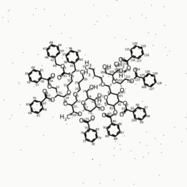 CCCCOCC1O[C@@H](OC2[C@H](O)C(CO)O[C@@H](O[C@@H](C)C(COCCCC)O[C@@H](OCCN(Cc3ccccc3)C(=O)OCc3ccccc3)[C@H](COC(=O)c3ccccc3)OC(=O)c3ccccc3)[C@H]2OC(=O)c2ccccc2)C(OC(=O)c2ccccc2)C(OC(=O)c2ccccc2)[C@@H]1O[C@H](OC(CO)[C@H](C)O)[C@H](COC(=O)c1ccccc1)OC(=O)c1ccccc1